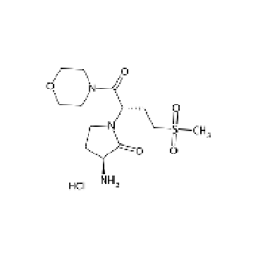 CS(=O)(=O)CC[C@@H](C(=O)N1CCOCC1)N1CC[C@H](N)C1=O.Cl